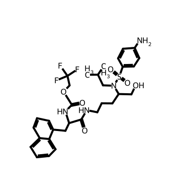 CC(C)CN(C(CO)CCCNC(=O)C(Cc1cccc2ccccc12)NC(=O)OCC(F)(F)F)S(=O)(=O)c1ccc(N)cc1